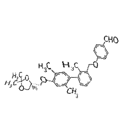 Cc1cc(-c2cccc(COc3ccc(C=O)cc3)c2C)c(C)cc1OC[C@@H]1COC(C)(C)O1